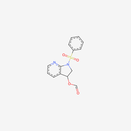 O=COC1CN(S(=O)(=O)c2ccccc2)c2ncccc21